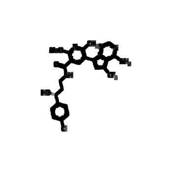 COc1nc(C)c(-c2cc(C(F)(F)F)c3c(N)ncnn23)cc1C(=O)NCC[C@@H](O)c1ccc(Cl)cc1